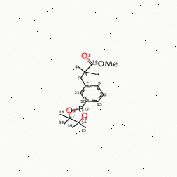 COC(=O)C(C)(C)Cc1cccc(B2OC(C)(C)C(C)(C)O2)c1